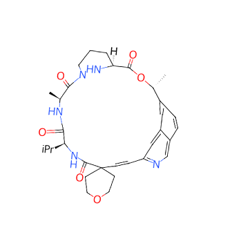 CC(C)[C@@H]1NC(=O)C2(/C=C/c3cc4cc(ccc4cn3)[C@@H](C)OC(=O)[C@@H]3CCCN(N3)C(=O)[C@H](C)NC1=O)CCOCC2